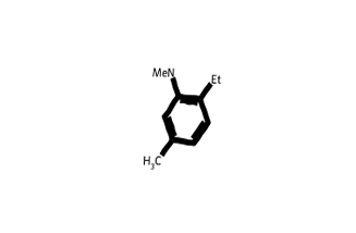 CCc1ccc(C)cc1NC